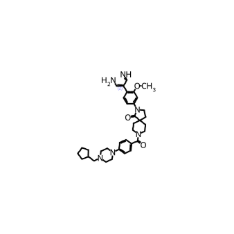 COc1cc(N2CCC3(CCN(C(=O)c4ccc(N5CCN(CC6CCCC6)CC5)cc4)CC3)C2=O)ccc1/C(C=N)=C/N